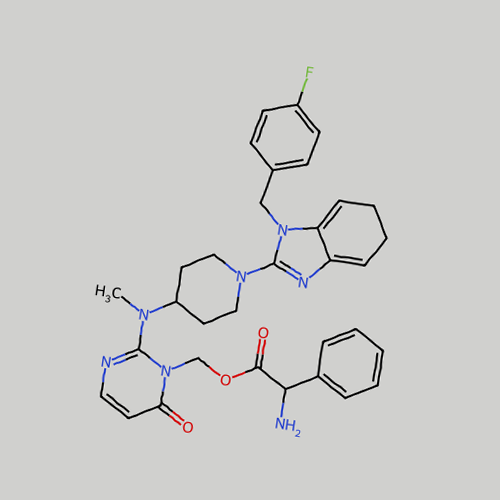 CN(c1nccc(=O)n1COC(=O)C(N)c1ccccc1)C1CCN(c2nc3c(n2Cc2ccc(F)cc2)=CCCC=3)CC1